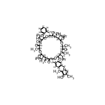 Cc1nn(Cc2ccc(C[C@H]3OC(=O)[C@H](CC(C)C)N(C)C(=O)[C@@H](C)OC(=O)[C@H](CC(C)C)N(C)C(=O)[C@@H](Cc4ccccc4)OC(=O)[C@H](CC(C)C)N(C)C(=O)[C@@H](C)OC(=O)[C@H](CC(C)C)N(C)C3=O)cc2)c(C)c1O